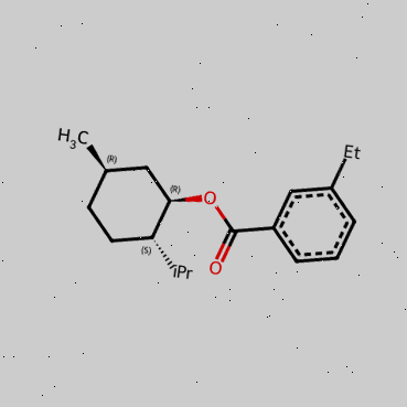 CCc1cccc(C(=O)O[C@@H]2C[C@H](C)CC[C@H]2C(C)C)c1